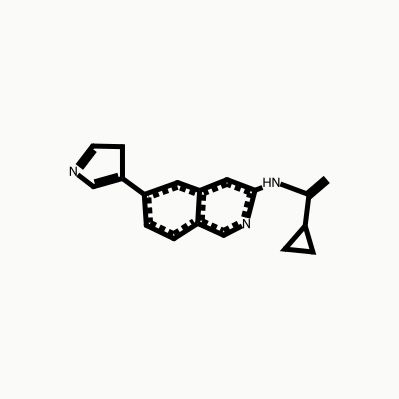 C=C(Nc1cc2cc(C3=CN=CC3)ccc2cn1)C1CC1